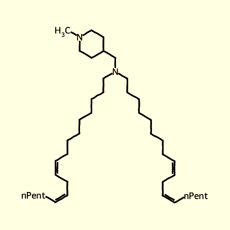 CCCCC/C=C\C/C=C\CCCCCCCCN(CCCCCCCC/C=C\C/C=C\CCCCC)CC1CCN(C)CC1